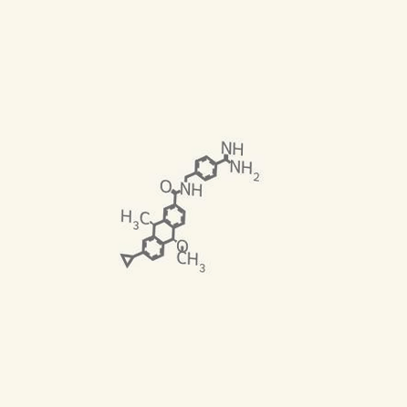 CO[C@@H]1c2ccc(C(=O)NCc3ccc(C(=N)N)cc3)cc2[C@H](C)c2cc(C3CC3)ccc21